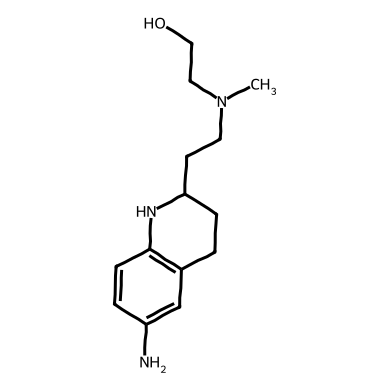 CN(CCO)CCC1CCc2cc(N)ccc2N1